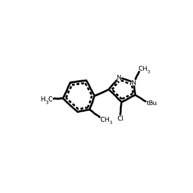 Cc1ccc(-c2nn(C)c(C(C)(C)C)c2Cl)c(C)c1